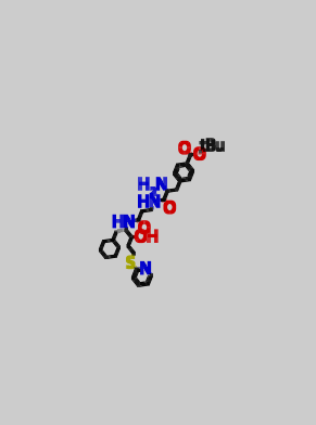 CC(C)(C)OC(=O)c1ccc(C[C@H](N)C(=O)NCCC(=O)N[C@@H](CC2CCCCC2)[C@@H](O)CCSc2ccccn2)cc1